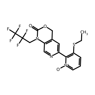 CCSc1ccc[n+]([O-])c1-c1cc2c(cn1)N(CC(F)(F)C(F)(F)F)C(=O)OC2